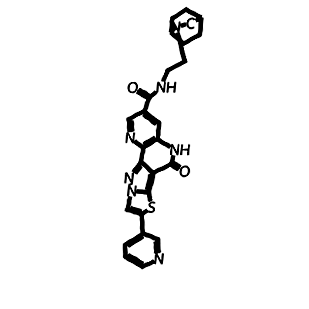 O=C(NCCN1CC2CCC1CC2)c1cnc2c(c1)[nH]c(=O)c1c2nn2cc(-c3cccnc3)sc12